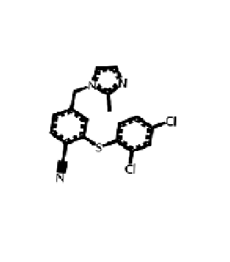 Cc1nccn1Cc1ccc(C#N)c(Sc2ccc(Cl)cc2Cl)c1